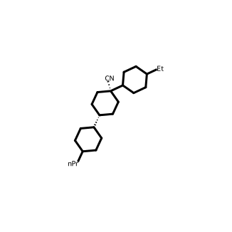 CCCC1CCC([C@H]2CC[C@](C#N)(C3CCC(CC)CC3)CC2)CC1